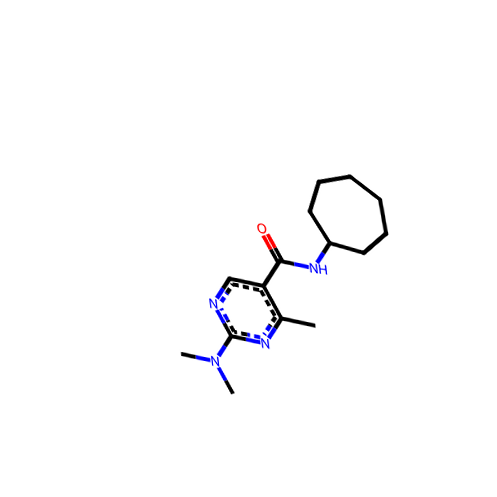 Cc1nc(N(C)C)ncc1C(=O)NC1CCCCCC1